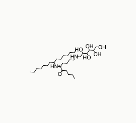 CCCCCCCC(CCCCCCC)N[C@@H](CCCCNCC(O)C(O)C(O)C(O)CO)C(=O)CCCC